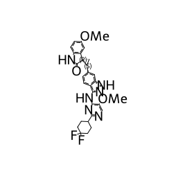 COc1ccc2c(c1)[C@]1(C[C@H]1c1ccc3c(Nc4nc(C5CCC(F)(F)CC5)ncc4OC)n[nH]c3c1)C(=O)N2